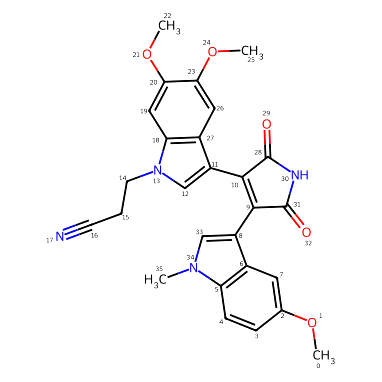 COc1ccc2c(c1)c(C1=C(c3cn(CCC#N)c4cc(OC)c(OC)cc34)C(=O)NC1=O)cn2C